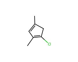 CC1=CC(C)=C(Cl)C1